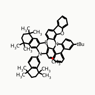 Cc1cc2c3c(c1)N(c1ccc(C(C)(C)C)cc1-c1ccccc1)c1c(ccc4c1oc1ccccc14)B3c1cc3c(cc1N2c1ccc2c(c1)C(C)(C)CCC2(C)C)C(C)(C)CCC3(C)C